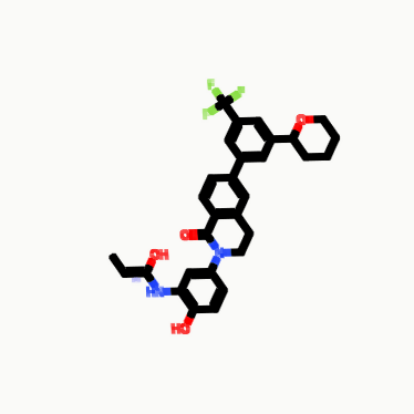 C/C=C(\O)Nc1cc(N2CCc3cc(-c4cc(C5CCCCO5)cc(C(F)(F)F)c4)ccc3C2=O)ccc1O